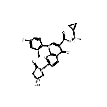 C[C@@H](NC(=O)c1cn(-c2ncc(F)cc2F)c2nc(N3C[C@@H](O)CC3=O)ccc2c1=O)C1CC1